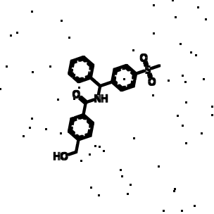 CS(=O)(=O)c1ccc(C(NC(=O)c2ccc(CO)cc2)c2ccccc2)cc1